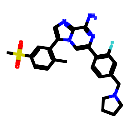 Cc1ccc(S(C)(=O)=O)cc1-c1cnc2c(N)nc(-c3ccc(CN4CCCC4)cc3F)cn12